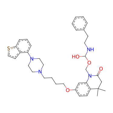 CC1(C)CC(=O)N(COC(O)NCCc2ccccc2)c2cc(OCCCCN3CCN(c4cccc5sccc45)CC3)ccc21